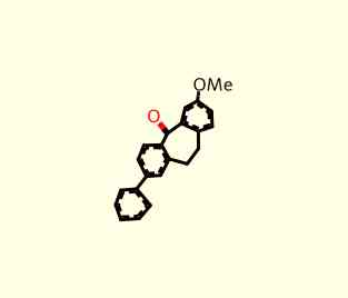 COc1ccc2c(c1)C(=O)c1ccc(-c3ccccc3)cc1CC2